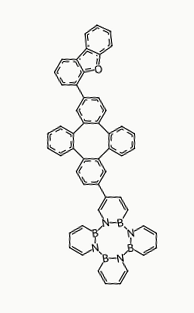 C1=CB2N(C=C1)B1C=CC=CN1B1C=CC(c3ccc4c(c3)-c3ccccc3-c3ccc(-c5cccc6c5oc5ccccc56)cc3-c3ccccc3-4)=CN1B1C=CC=CN21